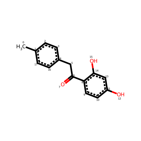 Cc1ccc(CC(=O)c2ccc(O)cc2O)cc1